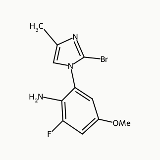 COc1cc(F)c(N)c(-n2cc(C)nc2Br)c1